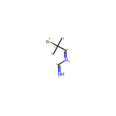 CC(C)(Br)/C=N\C=N